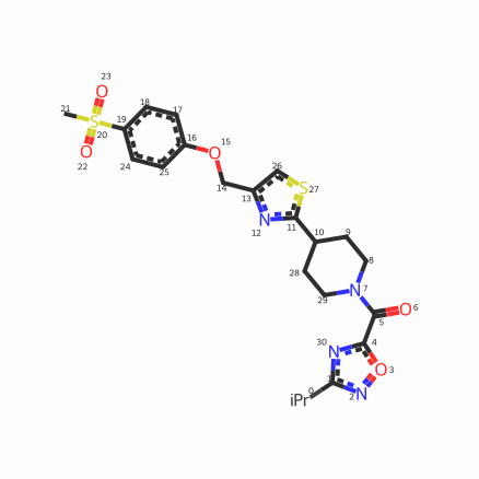 CC(C)c1noc(C(=O)N2CCC(c3nc(COc4ccc(S(C)(=O)=O)cc4)cs3)CC2)n1